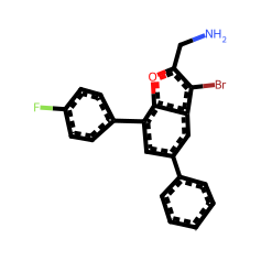 NCc1oc2c(-c3ccc(F)cc3)cc(-c3cc[c]cc3)cc2c1Br